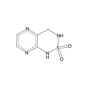 O=S1(=O)N[CH]c2nccnc2N1